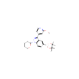 CC(C)Oc1cc(-c2nn(C3CCCCO3)c3ccc(B4OC(C)(C)C(C)(C)O4)cc23)ccn1